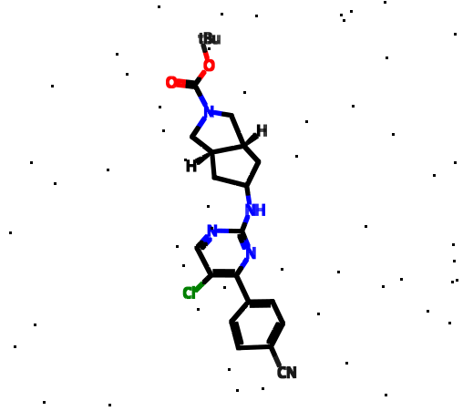 CC(C)(C)OC(=O)N1C[C@H]2CC(Nc3ncc(Cl)c(-c4ccc(C#N)cc4)n3)C[C@H]2C1